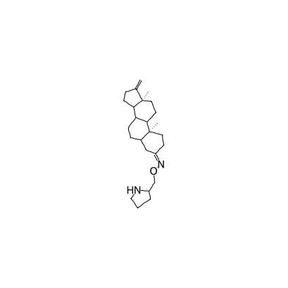 C=C1CCC2C3CCC4CC(=NOCC5CCCN5)CC[C@]4(C)C3CC[C@]12C